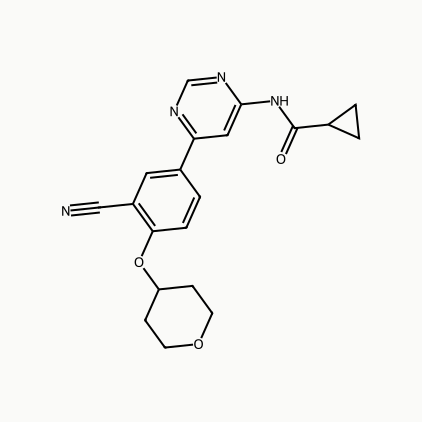 N#Cc1cc(-c2cc(NC(=O)C3CC3)ncn2)ccc1OC1CCOCC1